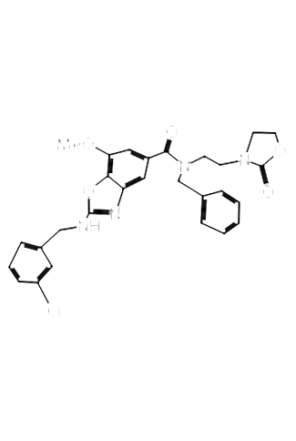 COc1cc(C(=O)N(CCN2CCOC2=O)Cc2ccccc2)cc2nc(NCc3cccc(Cl)c3)oc12